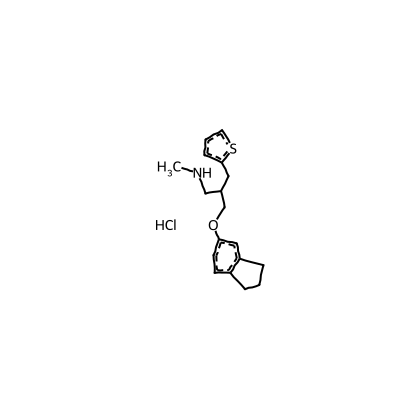 CNCC(COc1ccc2c(c1)CCC2)Cc1cccs1.Cl